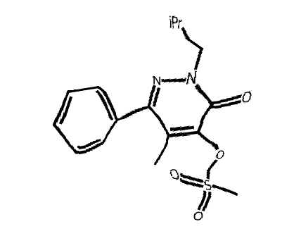 Cc1c(-c2ccccc2)nn(CC(C)C)c(=O)c1OS(C)(=O)=O